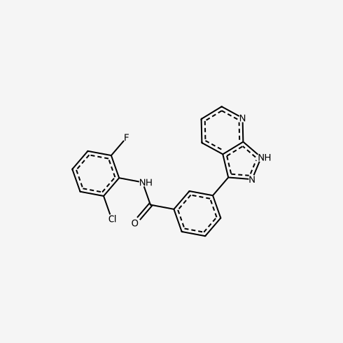 O=C(Nc1c(F)cccc1Cl)c1cccc(-c2n[nH]c3ncccc23)c1